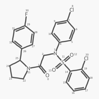 O=C(CN(c1ccc(Cl)cc1)S(=O)(=O)c1ccccc1Cl)N1CCCC1c1ccc(F)cc1